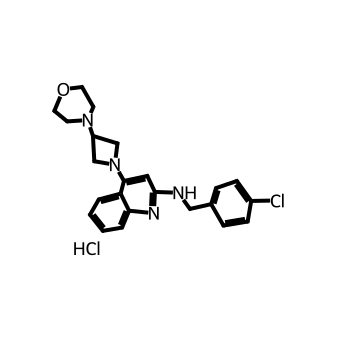 Cl.Clc1ccc(CNc2cc(N3CC(N4CCOCC4)C3)c3ccccc3n2)cc1